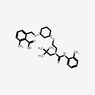 Cc1ccccc1NC(=O)N(CCO[C@H]1CCC[C@@H](OCc2cccc(C)c2C(=O)O)C1)CC(C)(C)C